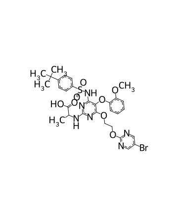 COc1ccccc1Oc1c(NS(=O)(=O)c2ccc(C(C)(C)C)cc2)nc(NC(C)C(=O)O)nc1OCCOc1ncc(Br)cn1